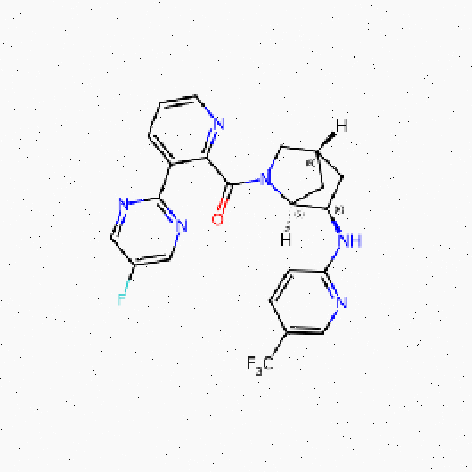 O=C(c1ncccc1-c1ncc(F)cn1)N1C[C@@H]2C[C@@H](Nc3ccc(C(F)(F)F)cn3)[C@@H]1C2